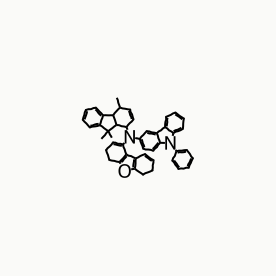 CC1C=CC(N(C2=CCCc3oc4c(c32)C=CCC4)c2ccc3c(c2)c2ccccc2n3-c2ccccc2)C2C1c1ccccc1C2(C)C